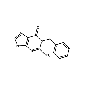 Nc1nc2[nH]cnc2c(=O)n1Cc1cccnc1